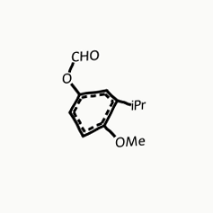 COc1ccc(OC=O)cc1C(C)C